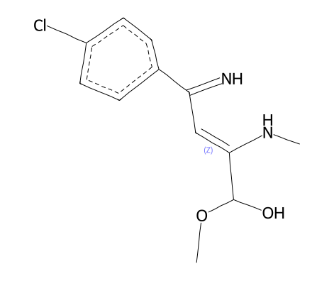 CN/C(=C\C(=N)c1ccc(Cl)cc1)C(O)OC